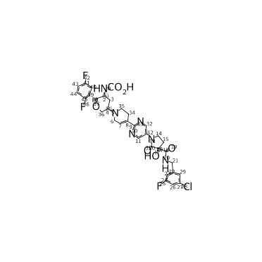 O=C(O)N[C@H]1C[C@@H](N2CC=C(c3ncc(N4CC[C@](O)(C(=O)NCc5cc(F)cc(Cl)c5)C4=O)cn3)CC2)CO[C@@H]1c1cc(F)ccc1F